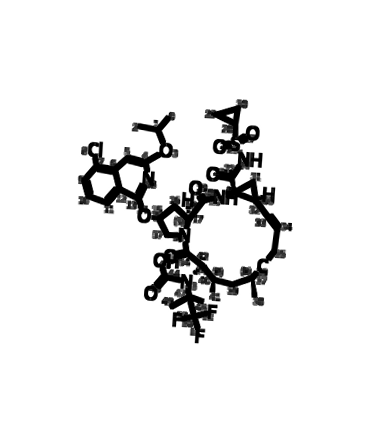 CC(C)Oc1cc2c(Cl)cccc2c(O[C@@H]2C[C@H]3C(=O)N[C@]4(C(=O)NS(=O)(=O)C5CC5)C[C@H]4C=CCC[C@@H](C)C[C@@H](C)[C@H](N(C(=O)O)C(C)(C)C(F)(F)F)C(=O)N3C2)n1